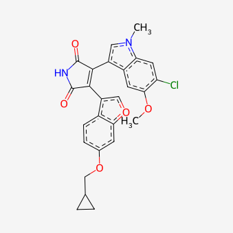 COc1cc2c(C3=C(c4coc5cc(OCC6CC6)ccc45)C(=O)NC3=O)cn(C)c2cc1Cl